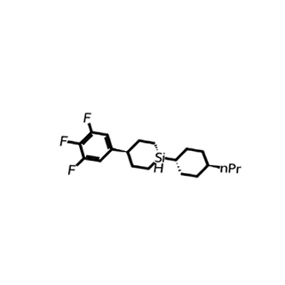 CCC[C@H]1CC[C@H]([Si@H]2CC[C@H](c3cc(F)c(F)c(F)c3)CC2)CC1